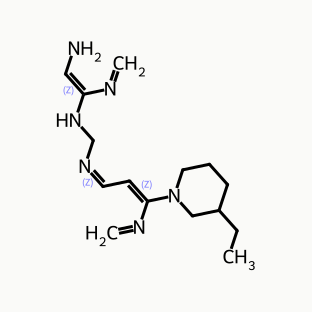 C=N/C(=C\N)NC/N=C\C=C(/N=C)N1CCCC(CC)C1